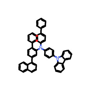 c1ccc(-c2ccc(N(c3ccc(-n4c5ccccc5c5ccccc54)cc3)c3cc(-c4cccc5ccccc45)ccc3-c3ccccc3)cc2)cc1